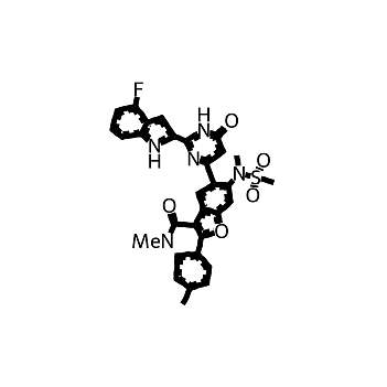 CNC(=O)c1c(-c2ccc(C)cc2)oc2cc(N(C)S(C)(=O)=O)c(-c3cc(=O)[nH]c(-c4cc5c(F)cccc5[nH]4)n3)cc12